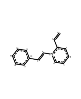 C=Cc1cccc[n+]1C=Cc1ccccc1